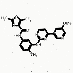 COc1cncc(-c2ccnc(Nc3cc(NC(=O)c4nc(C)oc4C(F)(F)F)ccc3C)n2)c1